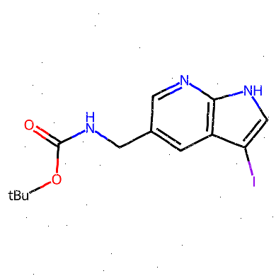 CC(C)(C)OC(=O)NCc1cnc2[nH]cc(I)c2c1